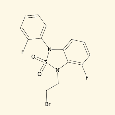 O=S1(=O)N(CCBr)c2c(F)cccc2N1c1ccccc1F